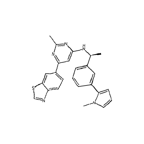 Cc1nc(N[C@@H](C)c2cccc(-c3cccn3C)c2)cc(-c2ccc3ncsc3c2)n1